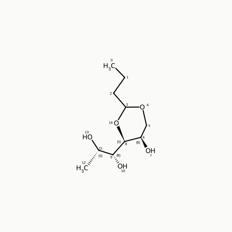 CCCC1OC[C@@H](O)[C@@H]([C@H](O)[C@H](C)O)O1